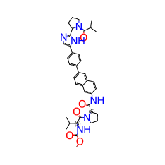 COC(=O)N[C@H](C(=O)N1CCC[C@H]1C(=O)Nc1ccc2cc(-c3ccc(-c4cnc(C5CCCN5C(=O)C(C)C)[nH]4)cc3)ccc2c1)C(C)C